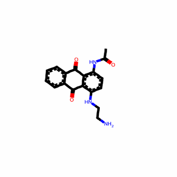 CC(=O)Nc1ccc(NCCN)c2c1C(=O)c1ccccc1C2=O